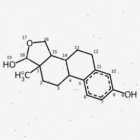 CC12CCC3c4ccc(O)cc4CCC3C1COC2O